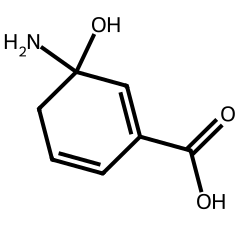 NC1(O)C=C(C(=O)O)C=CC1